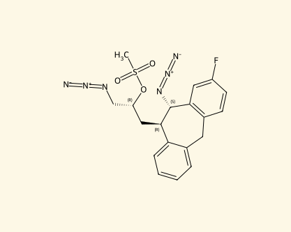 CS(=O)(=O)O[C@@H](CN=[N+]=[N-])C[C@@H]1c2ccccc2Cc2ccc(F)cc2[C@H]1N=[N+]=[N-]